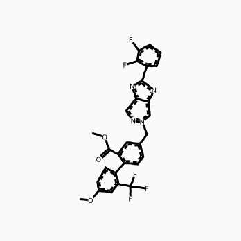 COC(=O)c1cc(Cn2cc3nc(-c4cccc(F)c4F)nc-3cn2)ccc1-c1ccc(OC)cc1C(F)(F)F